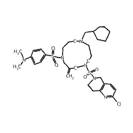 C=C1CN(S(=O)(=O)c2ccc(N(C)C)cc2)CCCN(CC2CCCCC2)CCCN(S(=O)(=O)N2CCc3nc(Cl)ccc3C2)C1